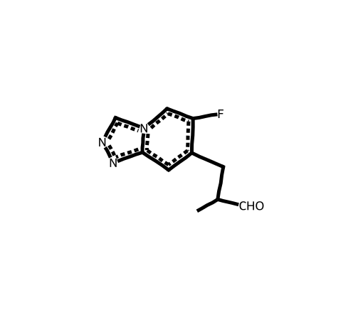 CC(C=O)Cc1cc2nncn2cc1F